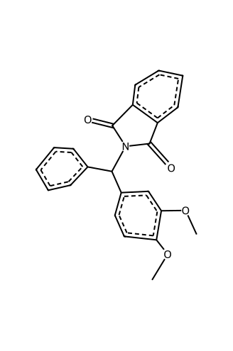 COc1ccc(C(c2ccccc2)N2C(=O)c3ccccc3C2=O)cc1OC